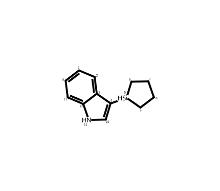 c1ccc2c([SiH]3CCCC3)c[nH]c2c1